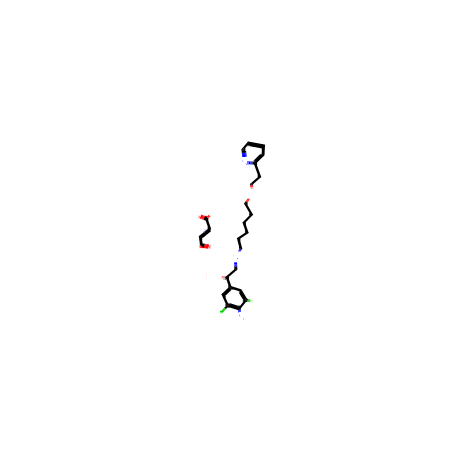 Nc1c(Cl)cc([C@@H](O)CNCCCCCCOCCc2ccccn2)cc1Cl.O=C(O)/C=C/C(=O)O